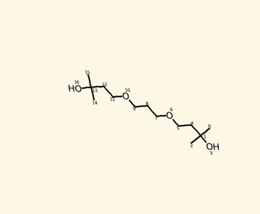 CC(C)(O)CCOCCCOCCC(C)(C)O